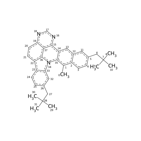 Cc1c2ccc(CC(C)(C)C)cc2cc2c3ncnc4ccc5c6ccc(CC(C)(C)C)cc6n(c12)c5c43